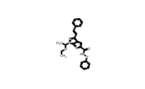 CCOC(C)n1nc(/C=C/c2ccccc2)c2cc(C(=O)NOc3ccccc3)sc21